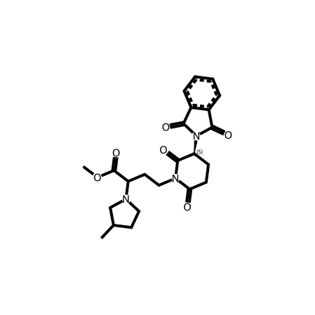 COC(=O)C(CCN1C(=O)CC[C@H](N2C(=O)c3ccccc3C2=O)C1=O)N1CCC(C)C1